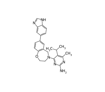 Cc1nc(N)nc(N2CCOc3ccc(-c4ccc5[nH]cnc5c4)cc3C2)c1C(C)C